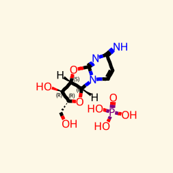 N=c1ccn2c(n1)O[C@H]1[C@H](O)[C@@H](CO)O[C@H]12.O=P(O)(O)O